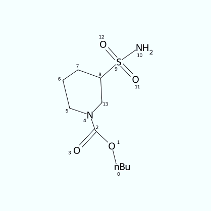 CCCCOC(=O)N1CCCC(S(N)(=O)=O)C1